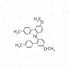 COc1ccc([Te]c2ccc(OC)cc2-c2ccc(C)cc2)c(-c2ccc(C)cc2)c1